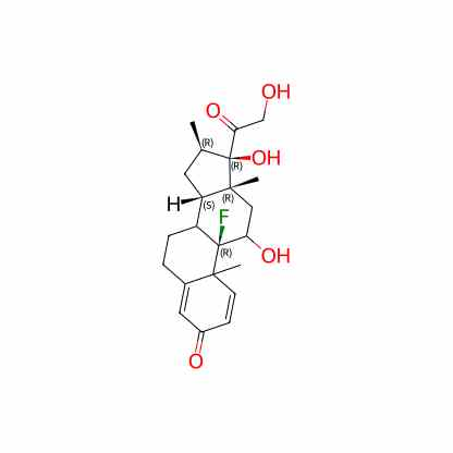 C[C@@H]1C[C@H]2C3CCC4=CC(=O)C=CC4(C)[C@@]3(F)C(O)C[C@@]2(C)[C@@]1(O)C(=O)CO